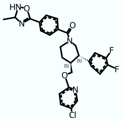 CC1N=C(c2ccc(C(=O)N3CC[C@H](COc4ccc(Cl)cn4)[C@@H](c4ccc(F)c(F)c4)C3)cc2)ON1